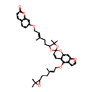 C/C(=C\COc1c2c(cc3occc13)OC1(C=C2)OC(CC/C(C)=C/COc2ccc3ccc(=O)oc3c2)C(C)(C)O1)CCC1OC1(C)C